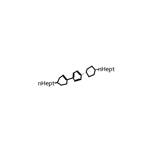 CCCCCCCC1CC=C(c2ccc([C@H]3CC[C@H](CCCCCCC)CC3)cc2)CC1